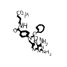 Nc1nc(N)c2nc(CN(C(=O)OC3/C=C/CCCCC3)c3ccc(C(=O)NCCCC(=O)O)cc3)cnc2n1